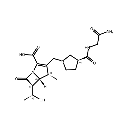 C[C@@H](O)[C@H]1C(=O)N2C(C(=O)O)=C(CN3CC[C@H](C(=O)NCC(N)=O)C3)[C@H](C)[C@H]12